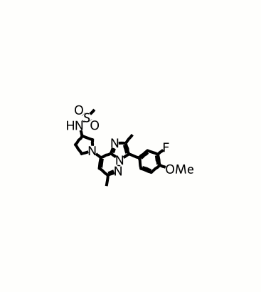 COc1ccc(-c2c(C)nc3c(N4CCC(NS(C)(=O)=O)C4)cc(C)nn23)cc1F